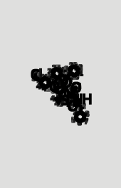 O=C(Cc1ccccc1)N[C@@H]1C(=O)N2C(C(=O)OC(c3ccccc3)c3ccccc3)=C(COc3ccc(CCl)cc3)C3(CC3)S[C@H]12